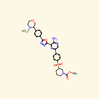 CC(C)(C)OC(=O)N1CCCC(S(=O)(=O)c2ccc(-c3cnc(N)c(-c4nnc(-c5ccc(C6COCCN6C(=O)O)cc5)o4)n3)cc2)C1